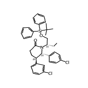 CC[C@@H](CO[Si](c1ccccc1)(c1ccccc1)C(C)(C)C)N1C(=O)CC[C@H](c2cccc(Cl)c2)[C@H]1c1ccc(Cl)cc1